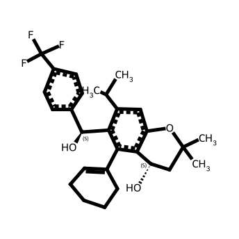 CC(C)c1cc2c(c(C3=CCCCC3)c1[C@@H](O)c1ccc(C(F)(F)F)cc1)[C@@H](O)CC(C)(C)O2